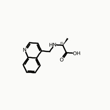 C[C@H](NCc1ccnc2ccccc12)C(=O)O